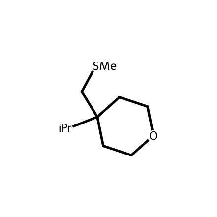 CSCC1(C(C)C)CCOCC1